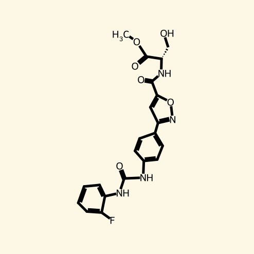 COC(=O)[C@H](CO)NC(=O)c1cc(-c2ccc(NC(=O)Nc3ccccc3F)cc2)no1